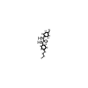 CCCCc1ccc(NC(=O)Nc2ccc(C)cc2)cc1